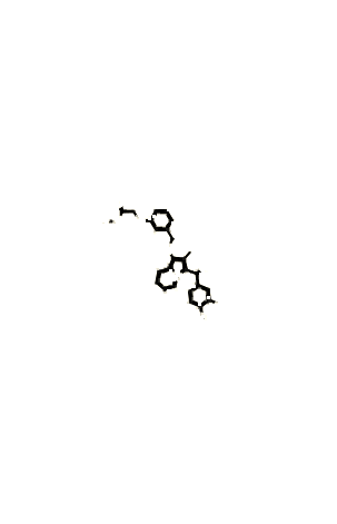 Cc1c(OCc2cccc(OCC(=O)OC(C)(C)C)c2)c2ccccn2c1C(=O)c1ccc(N)c(C(=O)O)c1